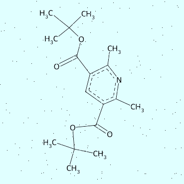 Cc1nc(C)c(C(=O)OC(C)(C)C)cc1C(=O)OC(C)(C)C